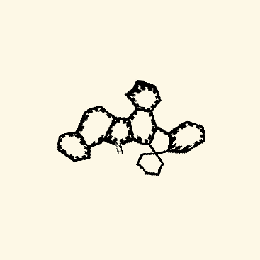 c1ccc2c(c1)-c1c(c3[nH]c4c5ccccc5ccc4c3c3ccccc13)C21CCCCC1